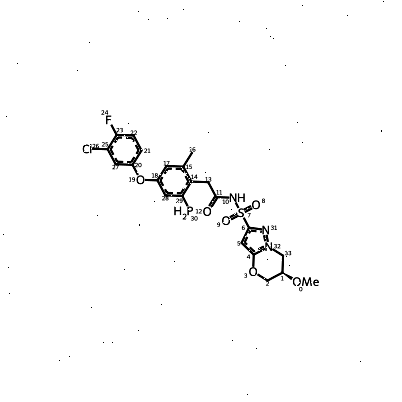 CO[C@H]1COc2cc(S(=O)(=O)NC(=O)Cc3c(C)cc(Oc4ccc(F)c(Cl)c4)cc3P)nn2C1